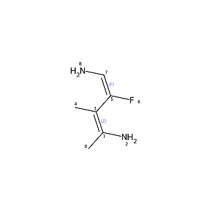 C/C(N)=C(C)/C(F)=C\N